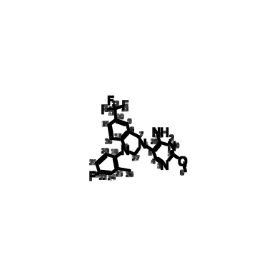 COc1ncc(N2Cc3cc(C(F)(F)F)ccc3N(c3ccc(F)cc3C)C2)c(N)n1